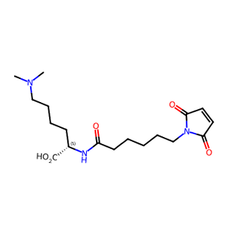 CN(C)CCCC[C@H](NC(=O)CCCCCN1C(=O)C=CC1=O)C(=O)O